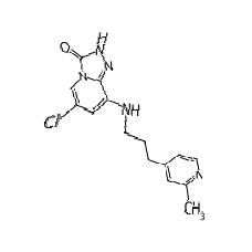 Cc1cc(CCCNc2cc(Cl)cn3c(=O)[nH]nc23)ccn1